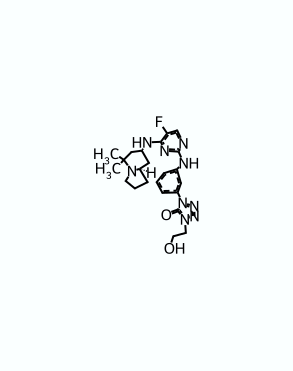 CC1(C)C[C@H](Nc2nc(Nc3cccc(-n4nnn(CCO)c4=O)c3)ncc2F)C[C@H]2CCCN21